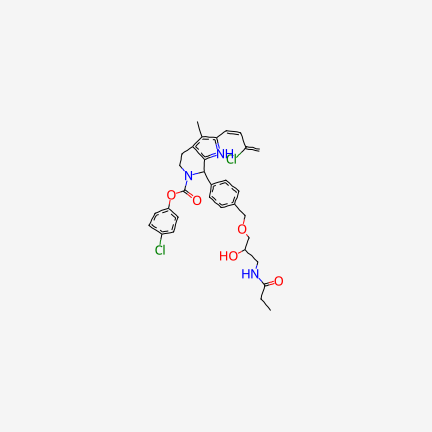 C=C(Cl)/C=C\c1[nH]c2c(c1C)CCN(C(=O)Oc1ccc(Cl)cc1)C2c1ccc(COCC(O)CNC(=O)CC)cc1